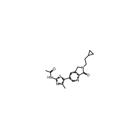 CC(=O)Nc1nc(C)c(-c2cnc3c(c2)CN(CCC2CC2)C3=O)s1